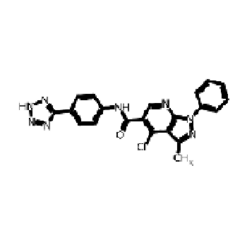 Cc1nn(-c2ccccc2)c2ncc(C(=O)Nc3ccc(-c4nn[nH]n4)cc3)c(Cl)c12